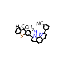 CC1(C)c2ccccc2Sc2cc(C3C=Cc4ccc5ccc(-c6cccc(C#N)c6)nc5c4N3)ccc21